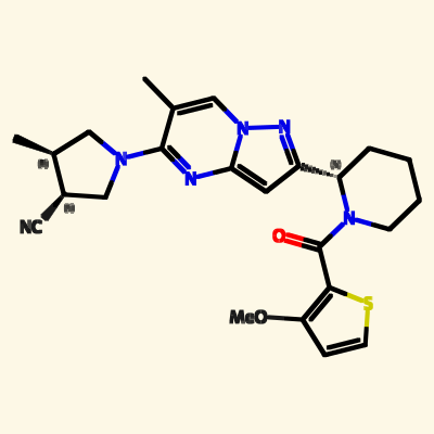 COc1ccsc1C(=O)N1CCCC[C@H]1c1cc2nc(N3C[C@@H](C#N)[C@@H](C)C3)c(C)cn2n1